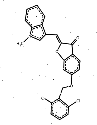 Cn1cc(/C=C2\Oc3cc(OCc4c(Cl)cccc4Cl)ccc3C2=O)c2ccccc21